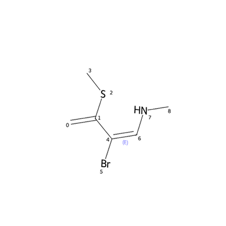 C=C(SC)/C(Br)=C\NC